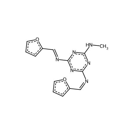 CNc1nc(/N=C\c2ccco2)nc(/N=C/c2ccco2)n1